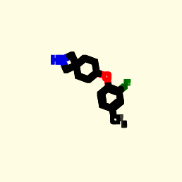 Fc1cc(C(F)(F)F)ccc1OC1CCC2(CC1)CNC2